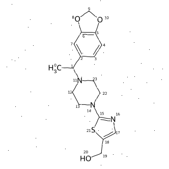 CC(c1ccc2c(c1)OCO2)N1CCN(c2ncc(CO)s2)CC1